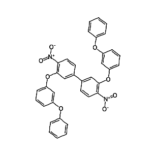 O=[N+]([O-])c1ccc(-c2ccc([N+](=O)[O-])c(Oc3cccc(Oc4ccccc4)c3)c2)cc1Oc1cccc(Oc2ccccc2)c1